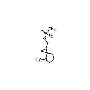 CN1CCCC12CC2COS(C)(=O)=O